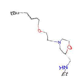 CCNC[C@@H]1CN(CCOCCCC(C)(C)C)CCO1